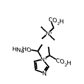 CC(O)[N+]1(C(C)C(=O)O)C=CN=C1.C[N+](C)(C)CC(=O)O.[NaH]